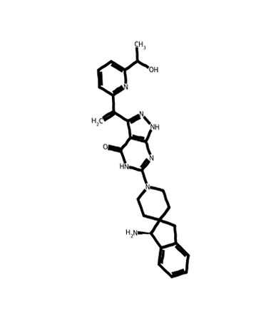 C=C(c1cccc(C(C)O)n1)c1n[nH]c2nc(N3CCC4(CC3)Cc3ccccc3[C@H]4N)[nH]c(=O)c12